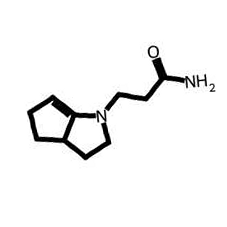 NC(=O)CCN1CCC2CCC=C21